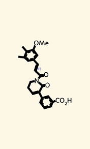 COc1cc(/C=C/C(=O)N2CCC=C(c3cccc(C(=O)O)c3)C2=O)cc(C)c1C